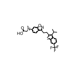 CC(C)c1c(CCc2noc3cc(N(C)CC(=O)O)ccc23)sc2cc(C(F)(F)F)ccc12